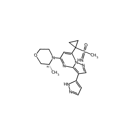 C[C@@H]1COCCN1c1cc(C2(S(C)(=N)=O)CC2)n2ncc(-c3ccn[nH]3)c2n1